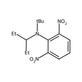 CCC(CC)N(c1c([N+](=O)[O-])cccc1[N+](=O)[O-])C(C)(C)C